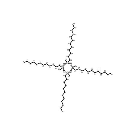 CCCCCCCCCCCC[Si]1(C)O[Si](C)(CCCCCCCCCCCC)O[Si](C)(CCCCCCCCCCCC)O[Si](C)(CCCCCCCCCCCC)O1